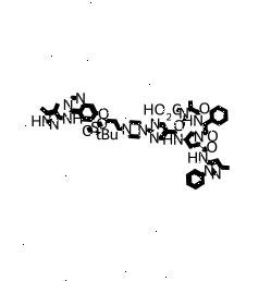 Cc1cc(NC(=O)[C@@H]2C[C@H](NC(=O)c3cnc(N4CCN(CCCOc5cc6ncnc(Nc7n[nH]c(C)c7C)c6cc5S(=O)(=O)C(C)(C)C)CC4)nc3)CN2C(=O)[C@@H](NC(=O)C(C)N(C)C(=O)O)C2CCCCC2)n(-c2ccccc2)n1